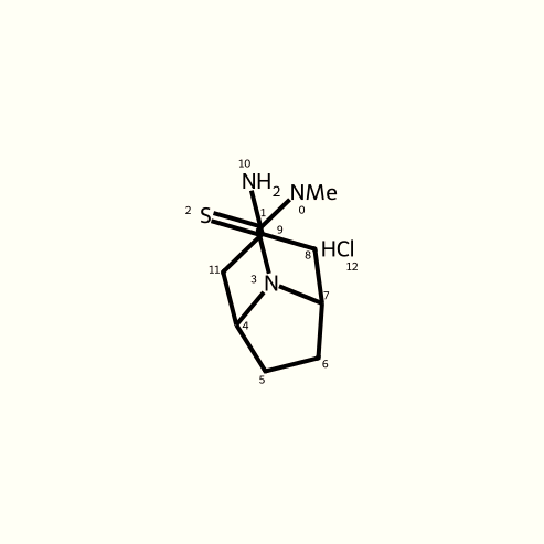 CNC(=S)N1C2CCC1CC(N)C2.Cl